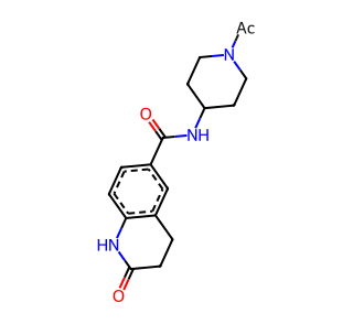 CC(=O)N1CCC(NC(=O)c2ccc3c(c2)CCC(=O)N3)CC1